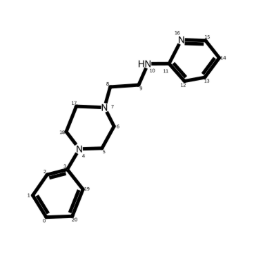 c1ccc(N2CCN(CCNc3ccccn3)CC2)cc1